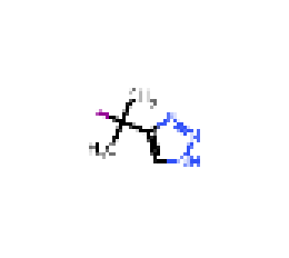 CC(C)(I)c1c[nH]nn1